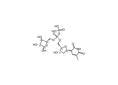 Cc1cn([C@H]2C[C@H](O)[C@@H](COP(=O)(OC[C@H]3O[C@@H](O)[C@H](O)[C@H]3O)OP(=O)(O)O)O2)c(=O)[nH]c1=O